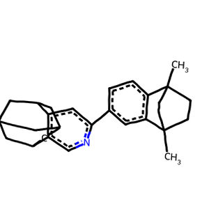 CC12CCC(C)(CC1)c1cc(-c3cc4c(cn3)C3CC5CC(C3)CC4C5)ccc12